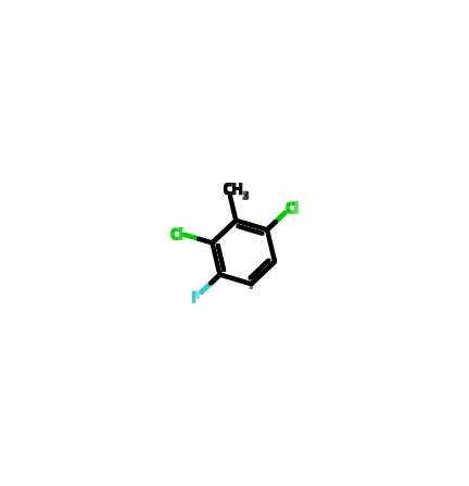 Cc1c(Cl)c[c]c(F)c1Cl